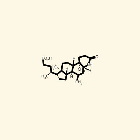 CC1C[C@H]2NC(=O)CC[C@]2(C)[C@H]2CC[C@]3(C)[C@@H]([C@H](C)CCC(=O)O)CC[C@H]3[C@H]12